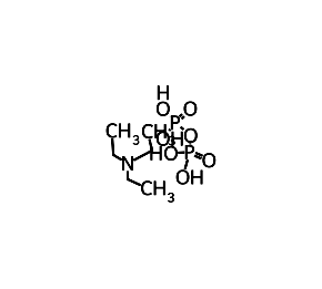 CCN(CC)CC.O=P(O)(O)OP(=O)(O)O